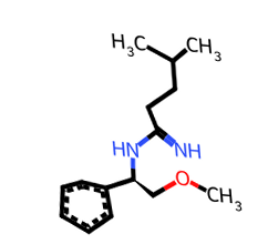 COC[C@H](NC(=N)CCC(C)C)c1ccccc1